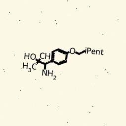 CCCC(C)COc1ccc(C(N)C(C)(C)O)cc1